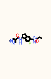 CCc1nc(-c2cc3c(cc2F)[C@H](NC(=O)c2cnn(C)c2)CC3)no1